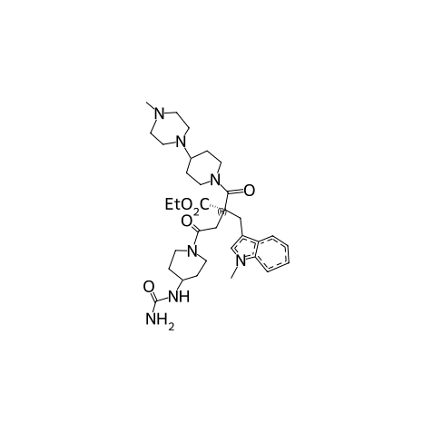 CCOC(=O)[C@@](CC(=O)N1CCC(NC(N)=O)CC1)(Cc1cn(C)c2ccccc12)C(=O)N1CCC(N2CCN(C)CC2)CC1